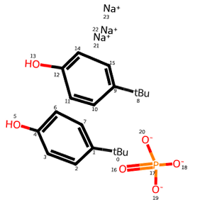 CC(C)(C)c1ccc(O)cc1.CC(C)(C)c1ccc(O)cc1.O=P([O-])([O-])[O-].[Na+].[Na+].[Na+]